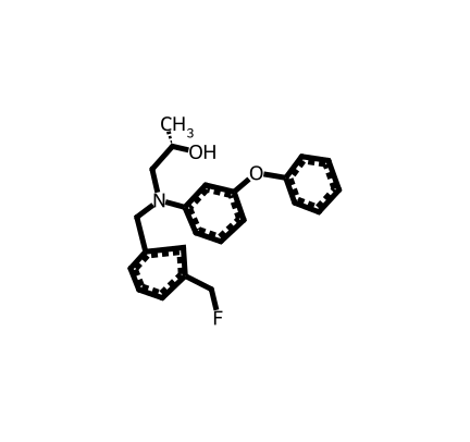 C[C@H](O)CN(Cc1cccc(CF)c1)c1cccc(Oc2ccccc2)c1